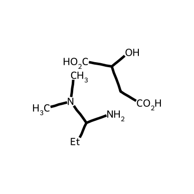 CCC(N)N(C)C.O=C(O)CC(O)C(=O)O